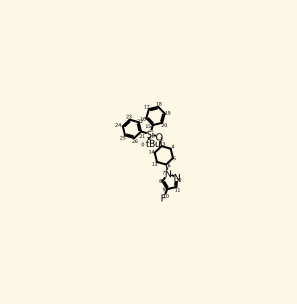 CC(C)(C)[Si](O[C@H]1CC[C@@H](n2cc(F)cn2)CC1)(c1ccccc1)c1ccccc1